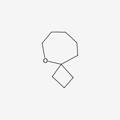 C1CCOC2(CC1)CCC2